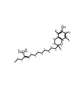 CCCC(=CCCCCCCCCC1(C)CCc2c(C)c(O)c(C)c(C)c2O1)[N+](=O)[O-]